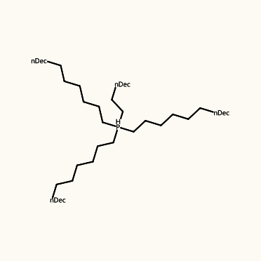 CCCCCCCCCCCCCCCC[PH](CCCCCCCCCCCC)(CCCCCCCCCCCCCCCC)CCCCCCCCCCCCCCCC